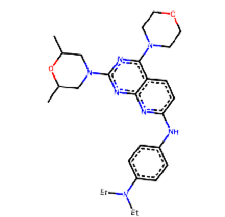 CCN(CC)c1ccc(Nc2ccc3c(N4CCOCC4)nc(N4CC(C)OC(C)C4)nc3n2)cc1